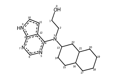 OCCN(c1ncnc2[nH]ccc12)C1CCC2CCCCC2C1